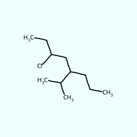 CCCC(CC(Cl)CC)C(C)C